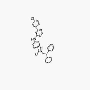 O=C(NCC(c1ccccc1)c1ccccc1)c1ccc(Nc2nccc(-c3ccc(Cl)cc3)n2)cc1